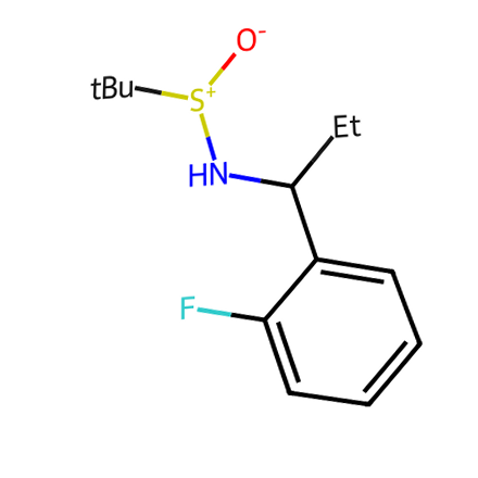 CCC(N[S+]([O-])C(C)(C)C)c1ccccc1F